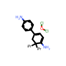 CC(C)C1(C(C)C)CC(c2ccc(N)cc2)=CC=C1N.ClOCl